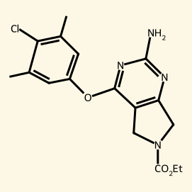 CCOC(=O)N1Cc2nc(N)nc(Oc3cc(C)c(Cl)c(C)c3)c2C1